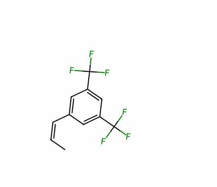 C/C=C\c1cc(C(F)(F)F)cc(C(F)(F)F)c1